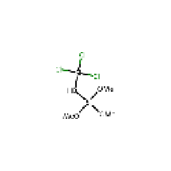 CO[Si](B[Si](Cl)(Cl)Cl)(OC)OC